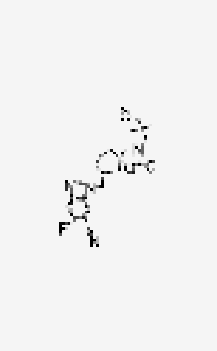 COCC(C)(C)CN1C[C@@]2(CCC[C@H](Cn3cnc4cc(F)c(C#N)cc43)C2)OC1=O